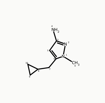 Cn1nc(N)cc1CC1CC1